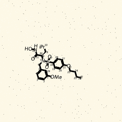 COc1cccc(CN([C@H](CC(C)C)C(=O)NO)S(=O)(=O)c2ccc(OCCCF)cc2)c1